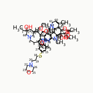 CC[C@]1(O)C[C@H]2CN(CCc3c([nH]c4ccc(SCCCN5CCOCC5)cc34)[C@@](C(=O)OC)(c3cc4c(cc3OC)N(C)[C@H]3[C@@](O)(C(=O)OC)[C@H](OC(C)=O)[C@]5(CC)C=CCN6CC[C@]43[C@@H]65)C2)C1